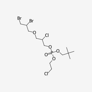 CC(C)(C)COP(=O)(OCCCl)OCC(Cl)COCC(Br)CBr